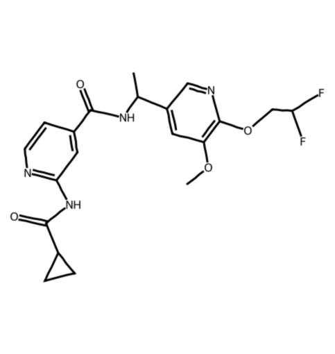 COc1cc(C(C)NC(=O)c2ccnc(NC(=O)C3CC3)c2)cnc1OCC(F)F